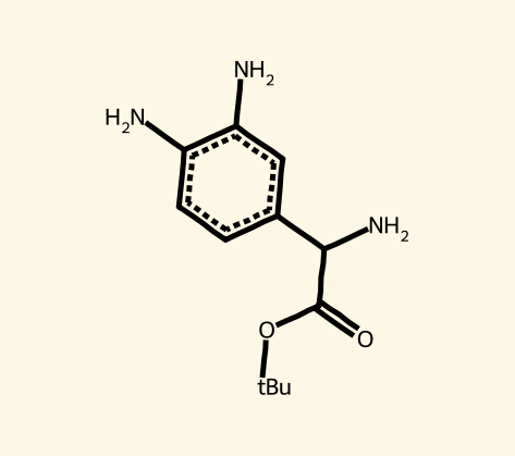 CC(C)(C)OC(=O)C(N)c1ccc(N)c(N)c1